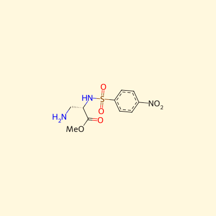 COC(=O)[C@H](CN)NS(=O)(=O)c1ccc([N+](=O)[O-])cc1